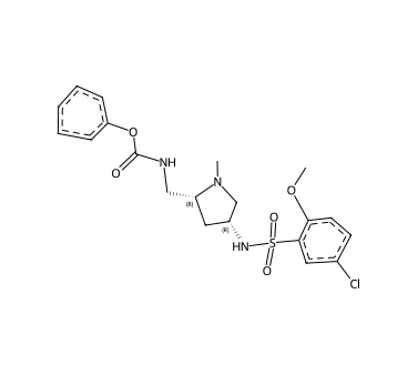 COc1ccc(Cl)cc1S(=O)(=O)N[C@@H]1C[C@H](CNC(=O)Oc2ccccc2)N(C)C1